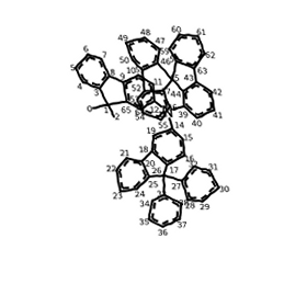 CC1(C)c2ccccc2-c2ccc(N(c3ccc4c(c3)-c3ccccc3C4(c3ccccc3)c3ccccc3)c3cccc4c3C3(c5ccccc5-c5ccccc53)c3ccccc3-4)cc21